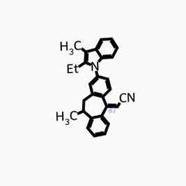 CCc1c(C)c2ccccc2n1-c1ccc2c(c1)CC(C)c1ccccc1/C2=C/C#N